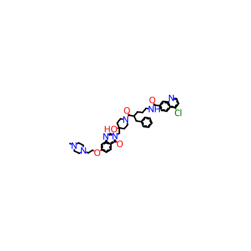 CN1CCN(CCOc2ccc3c(=O)n(CC4(O)CCN(C(=O)C(CCCNC(=O)c5ccc6c(Cl)ccnc6c5)Cc5ccccc5)CC4)cnc3c2)CC1